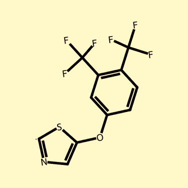 FC(F)(F)c1ccc(Oc2cn[c]s2)cc1C(F)(F)F